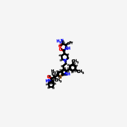 CCCC(NC(=O)C1CCN(CCc2c(-c3cc(C)cc(C)c3)[nH]c3sc(C(C)(C)C(=O)C4C5CCC4NC5)cc23)CC1)C(N)=O